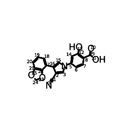 N#Cc1cn(-c2ccc(C(=O)O)c(O)c2)cc1-c1cccc2c1OCO2